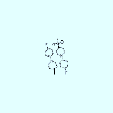 CS(=O)(=O)N1CCN(c2ccc(F)cc2)CC1.Fc1ccc(N2CCNCC2)cc1